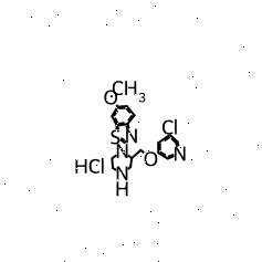 COc1ccc2nc(N3CCNCC3COc3cncc(Cl)c3)sc2c1.Cl